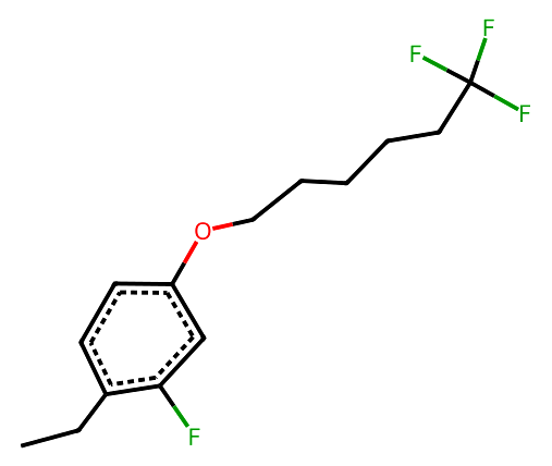 CCc1ccc(OCCCCCC(F)(F)F)cc1F